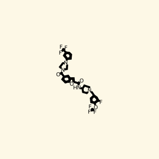 O=C(NC1CCN(Cc2ccc(OC(F)(F)F)c(F)c2)CC1)c1cc2cc(C(=O)N3CCN(c4cccc(C(F)(F)F)c4)CC3)ccc2o1